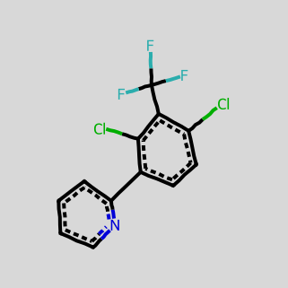 FC(F)(F)c1c(Cl)ccc(-c2ccccn2)c1Cl